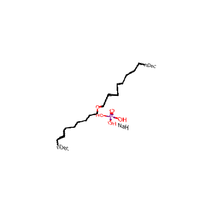 CCCCCCCCCCCCCCCCCCOCCCCCCCCCCCCCCCCCC.O=P(O)(O)O.[NaH]